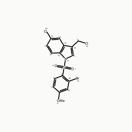 COc1ccc(S(=O)(=O)n2cc(CCl)c3cc(Cl)ccc32)c(Br)c1